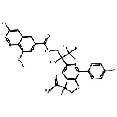 COc1cc(C(=O)NCC(O)(c2cc3c(c(-c4ccc(F)cc4)n2)OCC3(C)C(N)=O)C(F)(F)F)cc2cc(Cl)cnc12